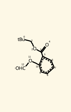 CC(C)(C)COC(=O)c1ccccc1O[C]=O